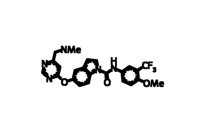 CNCc1cc(Oc2ccc3c(ccn3C(=O)Nc3ccc(OC)c(C(F)(F)F)c3)c2)ncn1